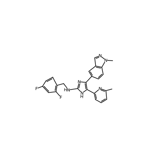 Cc1cccc(-c2[nH]c(NCc3ccc(F)cc3F)nc2-c2ccc3c(cnn3C)c2)n1